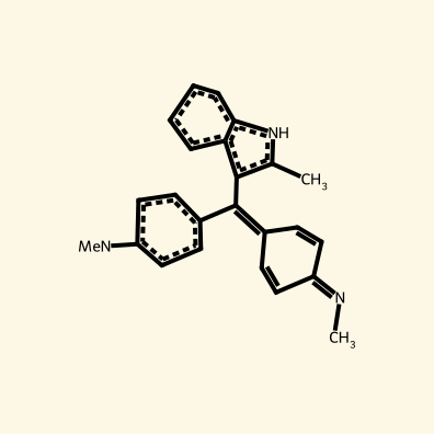 CN=C1C=CC(=C(c2ccc(NC)cc2)c2c(C)[nH]c3ccccc23)C=C1